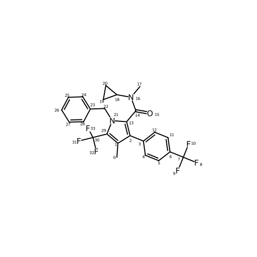 Cc1c(-c2ccc(C(F)(F)F)cc2)c(C(=O)N(C)C2CC2)n(Cc2ccccc2)c1C(F)(F)F